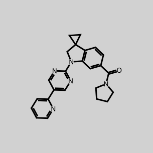 O=C(c1ccc2c(c1)N(c1ncc(-c3ccccn3)cn1)CC21CC1)N1CCCC1